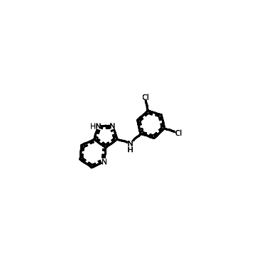 Clc1cc(Cl)cc(Nc2n[nH]c3cccnc23)c1